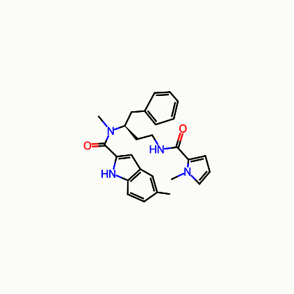 Cc1ccc2[nH]c(C(=O)N(C)[C@H](CCNC(=O)c3cccn3C)Cc3ccccc3)cc2c1